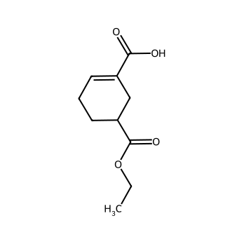 CCOC(=O)C1CCC=C(C(=O)O)C1